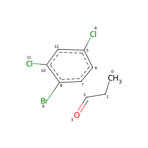 CCC=O.Clc1ccc(Br)c(Cl)c1